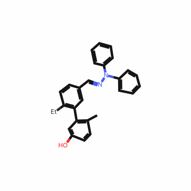 CCc1ccc(C=NN(c2ccccc2)c2ccccc2)cc1-c1cc(O)ccc1C